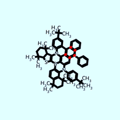 CC(C)(C)c1ccc(N2c3cc(N(c4ccccc4)c4ccccc4)cc4c3B(C3=C(C5C(S3)C(C)(C)CCC5(C)C)N4c3ccc(C(C)(C)C)cc3-c3ccccc3)c3ccc4c(c32)C(C)(C)CCC4(C)C)cc1